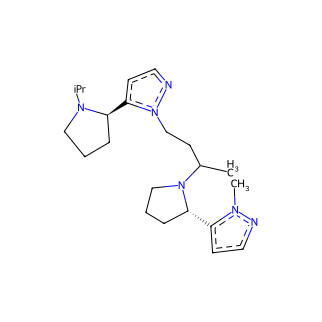 CC(C)N1CCC[C@@H]1c1ccnn1CCC(C)N1CCC[C@H]1c1ccnn1C